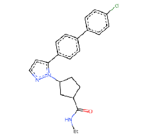 CCNC(=O)C1CCC(n2nccc2-c2ccc(-c3ccc(Cl)cc3)cc2)C1